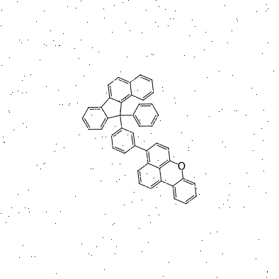 c1ccc(C2(c3cccc(-c4ccc5c6c(cccc46)-c4ccccc4O5)c3)c3ccccc3-c3ccc4ccccc4c32)cc1